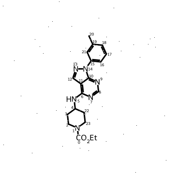 CCOC(=O)N1CCC(Nc2ncnc3c2cnn3-c2cccc(C)c2)CC1